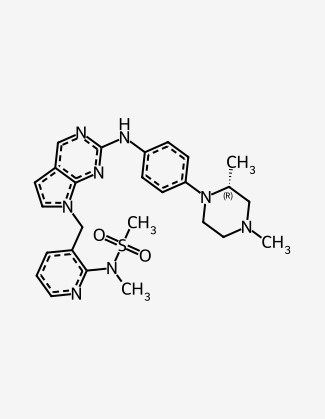 C[C@@H]1CN(C)CCN1c1ccc(Nc2ncc3ccn(Cc4cccnc4N(C)S(C)(=O)=O)c3n2)cc1